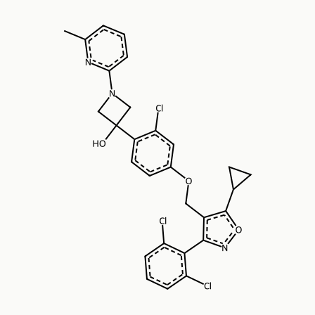 Cc1cccc(N2CC(O)(c3ccc(OCc4c(-c5c(Cl)cccc5Cl)noc4C4CC4)cc3Cl)C2)n1